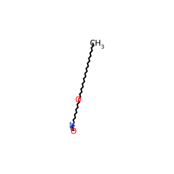 CCCCCCCCCCCCCCCCCCCCCCOCCCCCCCCCN=C=O